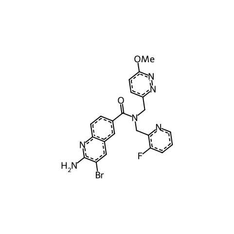 COc1ccc(CN(Cc2ncccc2F)C(=O)c2ccc3nc(N)c(Br)cc3c2)nn1